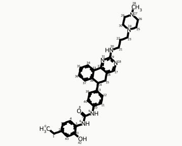 CCc1ccc(NC(=O)Nc2ccc(C3Cc4cnc(NCCCN5CCN(C)CC5)nc4-c4ccccc43)cc2)c(O)c1